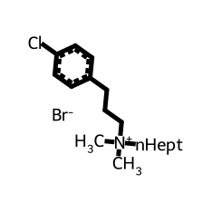 CCCCCCC[N+](C)(C)CCCc1ccc(Cl)cc1.[Br-]